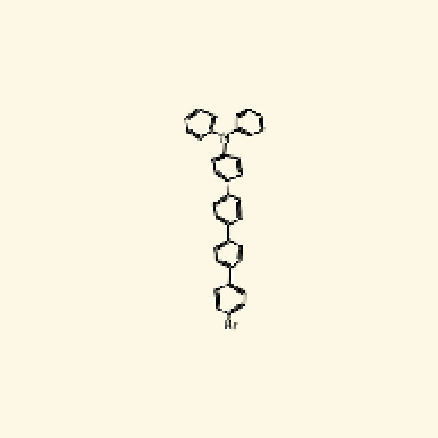 Brc1ccc(-c2ccc(-c3ccc(-c4ccc(N(c5ccccc5)c5ccccc5)cc4)cc3)cc2)cc1